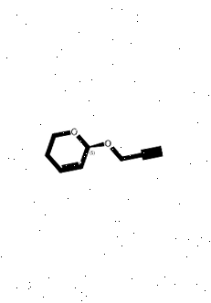 C#CCO[C@H]1C=CCCO1